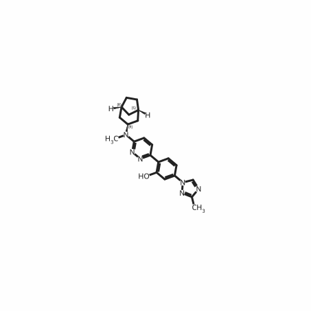 Cc1ncn(-c2ccc(-c3ccc(N(C)[C@H]4C[C@@H]5CC[C@@H](C5)C4)nn3)c(O)c2)n1